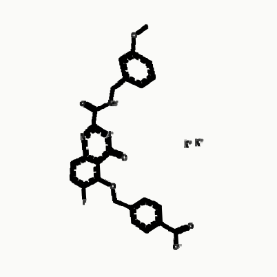 COc1cccc(CNC(=O)c2nc3ccc(F)c(OCc4ccc(C(=O)[O-])cc4)c3c(=O)[n-]2)c1.[K+].[K+]